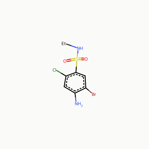 CCNS(=O)(=O)c1cc(Br)c(N)cc1Cl